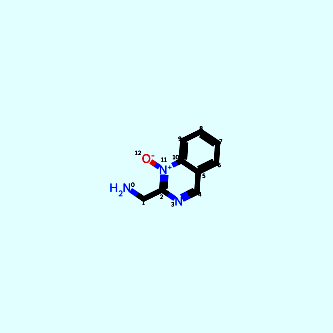 NCc1ncc2ccccc2[n+]1[O-]